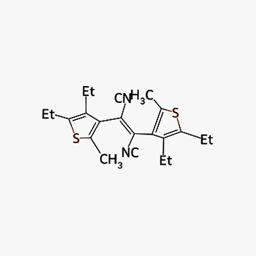 CCc1sc(C)c(C(C#N)=C(C#N)c2c(C)sc(CC)c2CC)c1CC